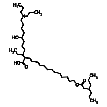 CCCC(CCC)CC(=O)OCCCCCCCCCCCCCC(C(=O)O)C(CC)CCCC(O)CCCCN(CCC)CCC